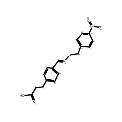 O=C(O)CCc1ccc(/C=N/OCc2ccc([N+](=O)[O-])cc2)cc1